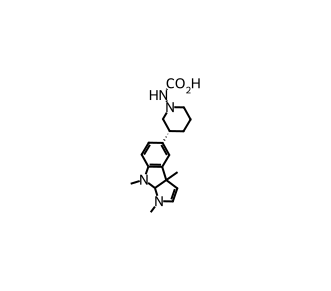 CN1C=CC2(C)c3cc([C@H]4CCCN(NC(=O)O)C4)ccc3N(C)C12